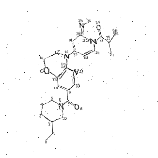 CCC1CCCN(C(=O)c2cnc3c(c2)OCCN3c2ccn(C(=O)C(C)C)/c(=N\C)c2)C1